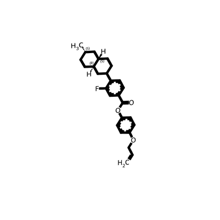 C=CCOc1ccc(OC(=O)c2ccc(C3CC[C@H]4C[C@@H](C)CC[C@@H]4C3)c(F)c2)cc1